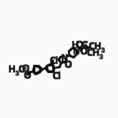 COC(=O)c1ccc(-c2cc(Cl)c(CC3CCN(C4CCN(C(=O)OC(C)(C)C)CC4)C3=O)c(Cl)c2)cc1